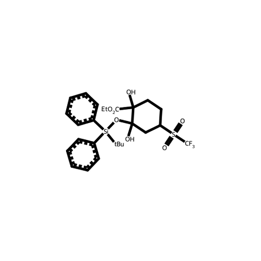 CCOC(=O)C1(O)CCC(S(=O)(=O)C(F)(F)F)CC1(O)O[Si](c1ccccc1)(c1ccccc1)C(C)(C)C